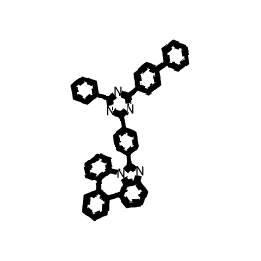 c1ccc(-c2ccc(-c3nc(-c4ccccc4)nc(-c4ccc(-c5nc6cccc7c6n5-c5ccccc5-c5ccccc5-7)cc4)n3)cc2)cc1